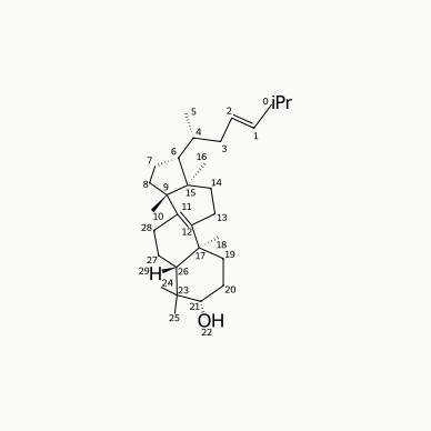 CC(C)/C=C/C[C@@H](C)[C@H]1CC[C@@]2(C)C3=C(CC[C@]12C)[C@@]1(C)CC[C@H](O)C(C)(C)[C@@H]1CC3